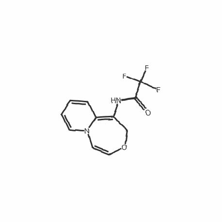 O=C(NC1=C2C=CC=CN2C=COC1)C(F)(F)F